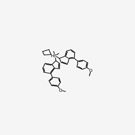 COc1ccc(-c2cccc3c2C=C[CH]3[Hf]([CH3])([CH3])(=[C]2CCC2)[CH]2C=Cc3c(-c4ccc(OC)cc4)cccc32)cc1